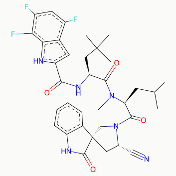 CC(C)C[C@@H](C(=O)N1C[C@]2(C[C@H]1C#N)C(=O)Nc1ccccc12)N(C)C(=O)[C@H](CC(C)(C)C)NC(=O)c1cc2c(F)cc(F)c(F)c2[nH]1